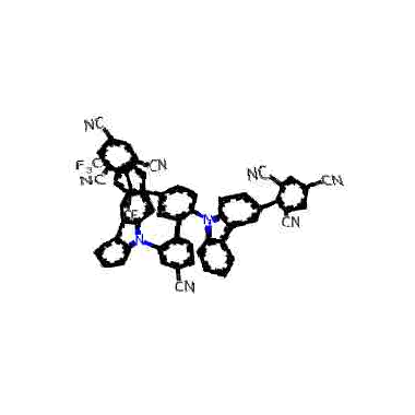 N#Cc1cc(C#N)c(-c2ccc3c(c2)c2ccccc2n3-c2ccc(-c3ccc(C(F)(F)F)cc3C(F)(F)F)cc2-c2ccc(C#N)cc2-n2c3ccccc3c3cc(-c4c(C#N)cc(C#N)cc4C#N)ccc32)c(C#N)c1